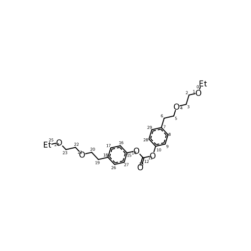 CCOCCOCCc1ccc(OC(=O)Oc2ccc(CCOCCOCC)cc2)cc1